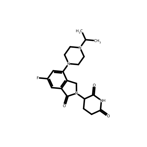 CC(C)N1CCN(c2cc(F)cc3c2CN(C2CCC(=O)NC2=O)C3=O)CC1